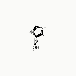 [N]O.c1c[nH]cn1